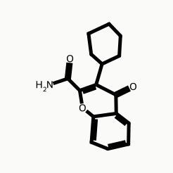 NC(=O)c1oc2ccccc2c(=O)c1C1CCCCC1